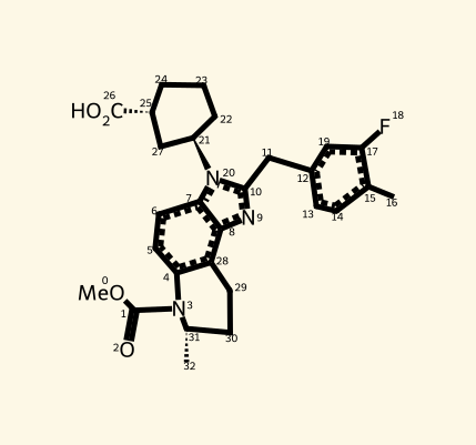 COC(=O)N1c2ccc3c(nc(Cc4ccc(C)c(F)c4)n3[C@@H]3CCC[C@@H](C(=O)O)C3)c2CC[C@@H]1C